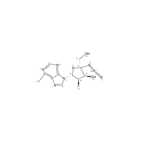 Cc1ncnc2c1ncn2[C@@H]1O[C@@](CO)(N=[N+]=[N-])[C@@H](O)[C@H]1F